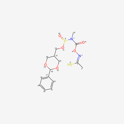 CC(S)=NOC(=O)N(C)S(=O)OCC1COC(c2ccccc2)OC1